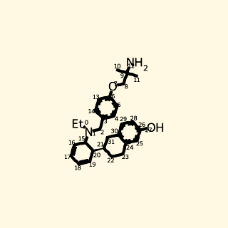 CCN(Cc1ccc(OCC(C)(C)N)cc1)C1C=CC=CC1[C@@H]1CCc2cc(O)ccc2C1